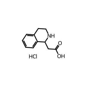 Cl.O=C(O)CC1NCCc2ccccc21